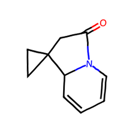 O=C1CC2(CC2)C2C=CC=CN12